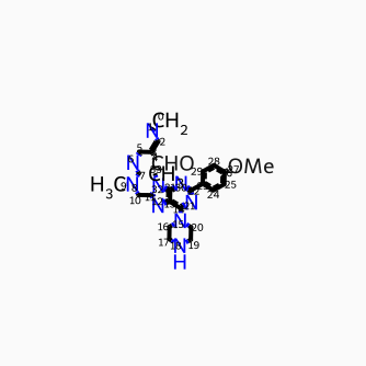 C=N/C=C(C=O)\C=N/CN(C)Cc1nc2c(N3CCNCC3)nc(-c3ccc(OC)cc3)nc2n1C